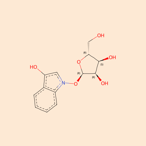 OC[C@H]1O[C@H](On2cc(O)c3ccccc32)[C@H](O)[C@@H]1O